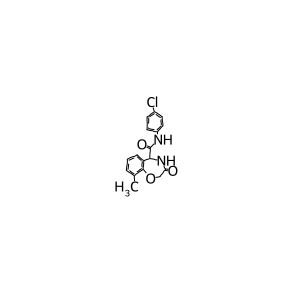 Cc1cccc2c1OCC(=O)NC2C(=O)Nc1ccc(Cl)cc1